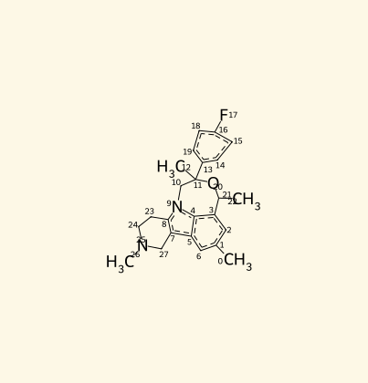 Cc1cc2c3c(c1)c1c(n3CC(C)(c3ccc(F)cc3)OC2C)CCN(C)C1